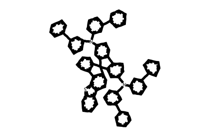 c1ccc(-c2cccc(N(c3cccc(-c4ccccc4)c3)c3ccc4c(c3)C3(c5cc(N(c6cccc(-c7ccccc7)c6)c6cccc(-c7ccccc7)c6)ccc5-4)c4ccccc4-c4c3ccc3c4sc4ccccc43)c2)cc1